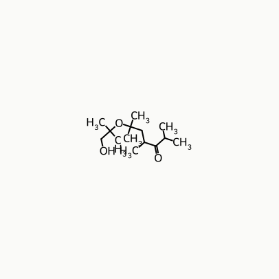 CC(C)C(=O)C(C)CC(C)(C)OC(C)(C)CO